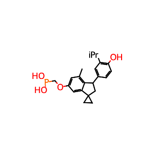 Cc1cc(OCP(O)O)cc2c1C(c1ccc(O)c(C(C)C)c1)CC21CC1